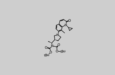 Cc1c(N2CC[C@@H]([C@H](C)N(C(=O)OC(C)(C)C)C(=O)OC(C)(C)C)C2)ccc2ccc(=O)n(C3CC3)c12